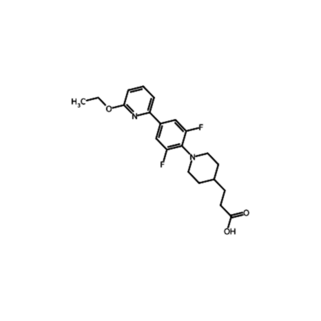 CCOc1cccc(-c2cc(F)c(N3CCC(CCC(=O)O)CC3)c(F)c2)n1